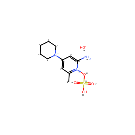 Cc1cc(N2CCCCC2)cc(N)[n+]1OS(=O)(=O)O.[OH-]